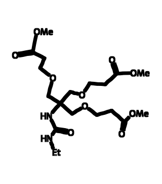 CCNC(=O)NC(COCCC(=O)OC)(COCCC(=O)OC)COCCC(=O)OC